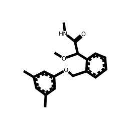 CNC(=O)C(OC)c1ccccc1COc1cc(C)cc(C)c1